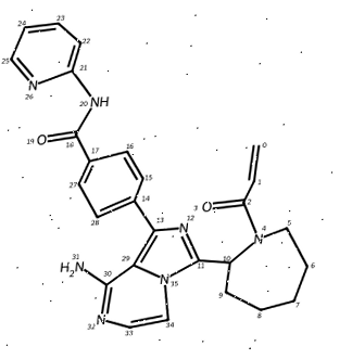 C=CC(=O)N1CCCCCC1c1nc(-c2ccc(C(=O)Nc3ccccn3)cc2)c2c(N)nccn12